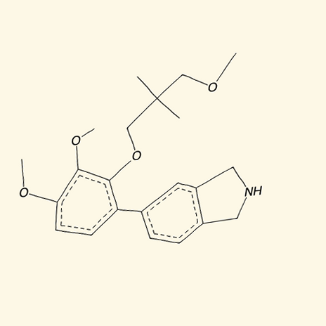 COCC(C)(C)COc1c(-c2ccc3c(c2)CNC3)ccc(OC)c1OC